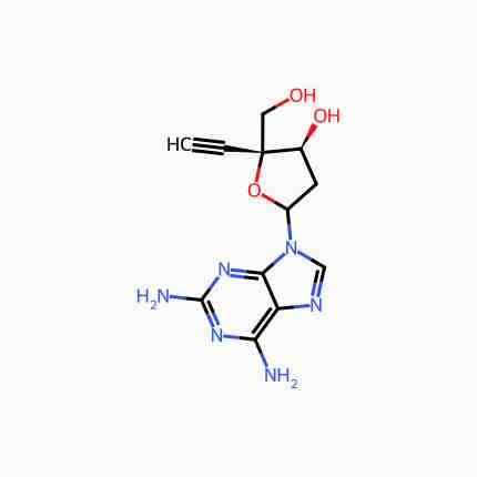 C#C[C@]1(CO)OC(n2cnc3c(N)nc(N)nc32)C[C@@H]1O